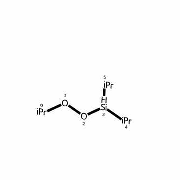 CC(C)OO[SiH](C(C)C)C(C)C